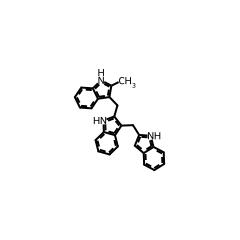 Cc1[nH]c2ccccc2c1Cc1[nH]c2ccccc2c1Cc1cc2ccccc2[nH]1